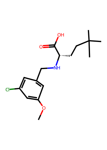 COc1cc(Cl)cc(CN[C@@H](CCC(C)(C)C)C(=O)O)c1